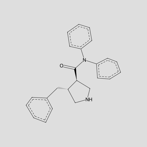 O=C([C@H]1CNC[C@@H]1Cc1ccccc1)N(c1ccccc1)c1ccccc1